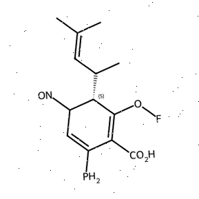 CC(C)=CC(C)[C@@H]1C(OF)=C(C(=O)O)C(P)=CC1N=O